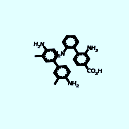 Cc1cc(-c2ccc(N)c(C)c2)ccc1N.Nc1ccccc1-c1ccc(C(=O)O)cc1N